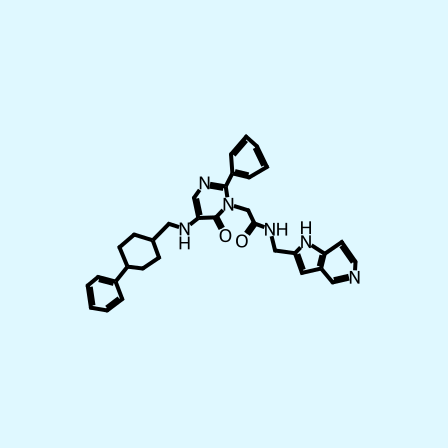 O=C(Cn1c(-c2ccccc2)ncc(NCC2CCC(c3ccccc3)CC2)c1=O)NCc1cc2cnccc2[nH]1